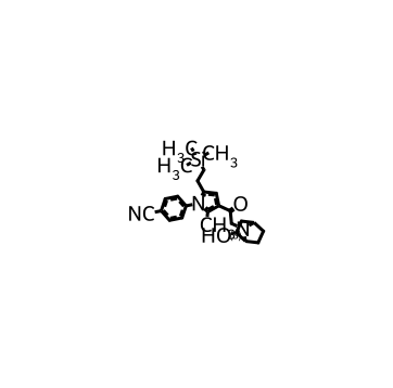 Cc1c(C(=O)CN2C3CCC2[C@@H](O)C3)cc(CC[Si](C)(C)C)n1-c1ccc(C#N)cc1